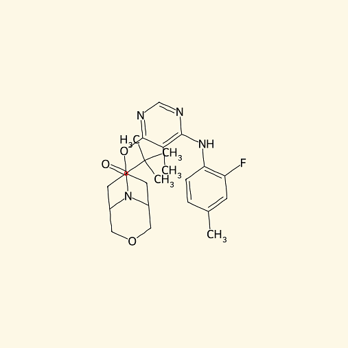 Cc1ccc(Nc2ncnc(OC3CC4COCC(C3)N4C(=O)C(C)(C)C)c2C)c(F)c1